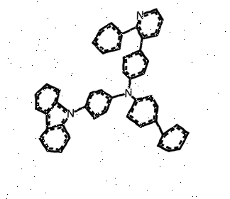 c1ccc(-c2ccc(N(c3ccc(-c4cccnc4-c4ccccc4)cc3)c3ccc(-n4c5ccccc5c5ccccc54)cc3)cc2)cc1